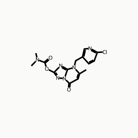 Cc1cc(=O)n2nc(OC(=O)N(C)C)nc2n1Cc1ccc(Cl)nc1